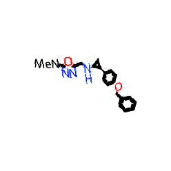 CNc1nnc(CN[C@@H]2C[C@H]2c2ccc(OCc3ccccc3)cc2)o1